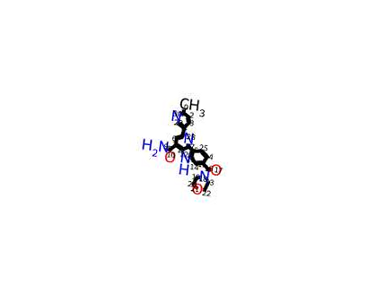 Cc1ccc(-c2cc(C(N)=O)c3[nH]c4cc(C(=O)N5CCOCC5)ccc4c3n2)cn1